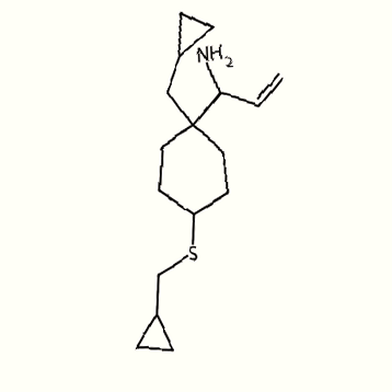 C=CC(N)C1(CC2CC2)CCC(SCC2CC2)CC1